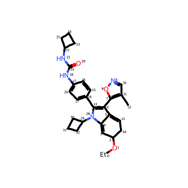 CCOC1C=c2c(c(-c3oncc3C)c(-c3ccc(NC(=O)NC4CCC4)cc3)n2C2CCC2)=CC1